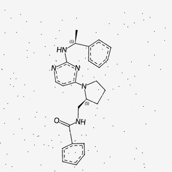 C[C@H](Nc1nccc(N2CCC[C@H]2CNC(=O)c2ccccc2)n1)c1ccccc1